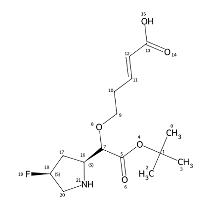 CC(C)(C)OC(=O)C(OCCC=CC(=O)O)[C@@H]1C[C@H](F)CN1